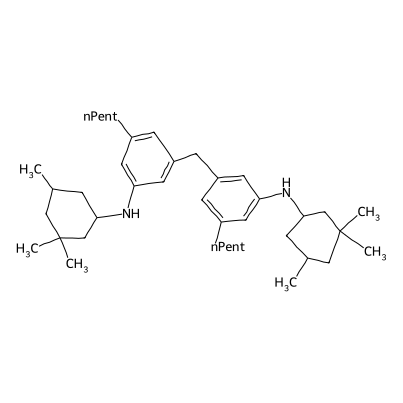 CCCCCc1cc(Cc2cc(CCCCC)cc(NC3CC(C)CC(C)(C)C3)c2)cc(NC2CC(C)CC(C)(C)C2)c1